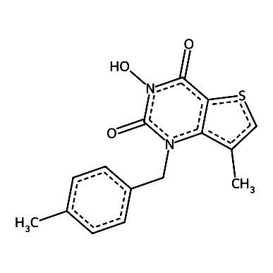 Cc1ccc(Cn2c(=O)n(O)c(=O)c3scc(C)c32)cc1